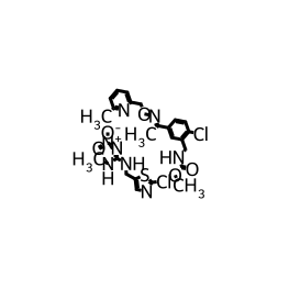 CN/C(=N\[N+](=O)[O-])NCc1cnc(Cl)s1.COC(=O)NCc1cc(/C(C)=N/OCc2cccc(C)n2)ccc1Cl